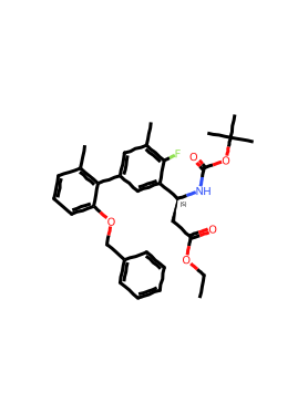 CCOC(=O)C[C@H](NC(=O)OC(C)(C)C)c1cc(-c2c(C)cccc2OCc2ccccc2)cc(C)c1F